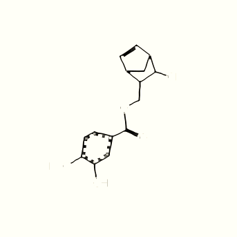 Cc1ccc(C(=O)OCC2C3C=CC(C3)C2C)cc1C